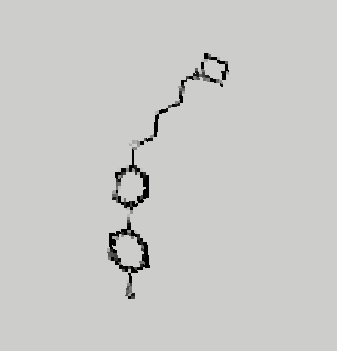 Brc1ccc(-c2ccc(OCCCCN3CCC3)cc2)cc1